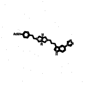 CC(=O)Nc1ccc(CCN2C[C@H]3CN(CCCc4c[nH]c5ccc(-n6cnnc6)cc45)C[C@H]3C2)cc1